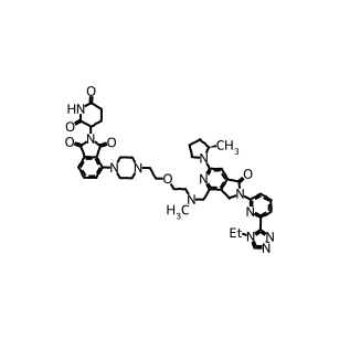 CCn1cnnc1-c1cccc(N2Cc3c(cc(N4CCC[C@H]4C)nc3CN(C)CCOCCN3CCN(c4cccc5c4C(=O)N(C4CCC(=O)NC4=O)C5=O)CC3)C2=O)n1